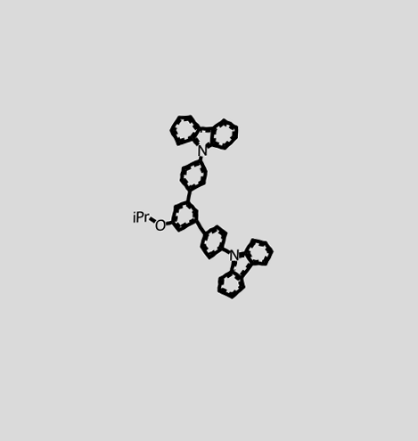 CC(C)Oc1cc(-c2ccc(-n3c4ccccc4c4ccccc43)cc2)cc(-c2ccc(-n3c4ccccc4c4ccccc43)cc2)c1